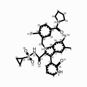 Cc1cc2c(-c3ccc[nH]c3=O)c(C(=O)NS(=O)(=O)C3CC3)n(Cc3cc(C(=O)N4CCCC4)ccc3F)c2cc1F